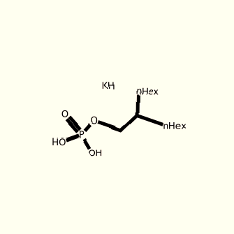 CCCCCCC(CCCCCC)COP(=O)(O)O.[KH]